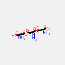 NC(CCC(=O)OC(=O)CC[C@H](N)C(=O)O)C(=O)OC(=O)CC[C@H](N)C(=O)O